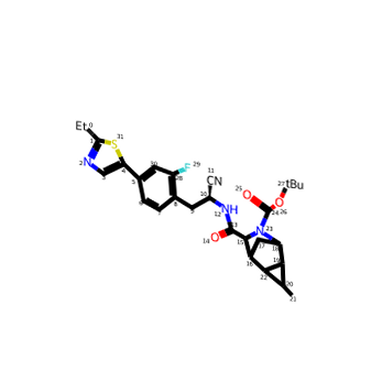 CCc1ncc(-c2ccc(C[C@@H](C#N)NC(=O)C3C4CC(C5C(C)C45)N3C(=O)OC(C)(C)C)c(F)c2)s1